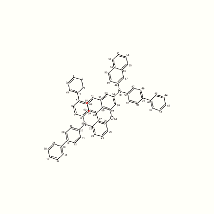 C1=CCCC(c2ccc(N(c3ccc(-c4ccccc4)cc3)c3cccc4c3-c3cccc5cc(N(c6ccc(-c7ccccc7)cc6)c6ccc7ccccc7c6)cc(c35)O4)cc2)=C1